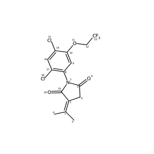 CC(C)=C1CC(=O)N(c2cc(OCC(F)(F)F)c(Cl)cc2Cl)C1=O